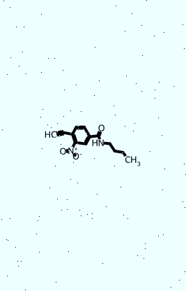 C#Cc1ccc(C(=O)NCCCC)cc1[N+](=O)[O-]